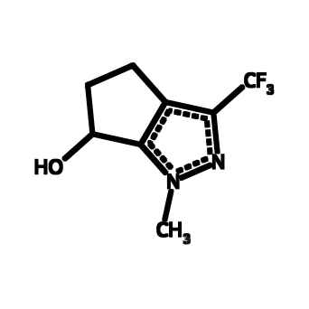 Cn1nc(C(F)(F)F)c2c1C(O)CC2